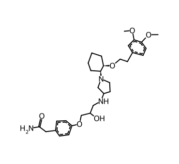 COc1ccc(CCO[C@@H]2CCCC[C@@H]2N2CCC(NCC(O)COc3ccc(CC(N)=O)cc3)C2)cc1OC